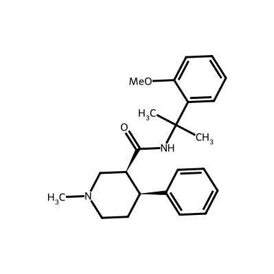 COc1ccccc1C(C)(C)NC(=O)[C@@H]1CN(C)CC[C@@H]1c1ccccc1